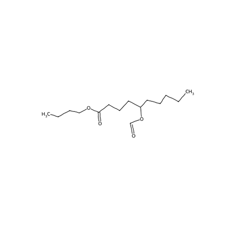 CCCCCC(CCCC(=O)OCCCC)OC=O